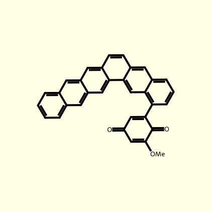 COC1=CC(=O)C=C(c2cccc3cc4ccc5cc6cc7ccccc7cc6cc5c4cc23)C1=O